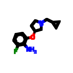 Nc1c(F)cccc1O[C@H]1CCN(CC2CC2)C1